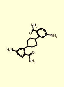 NC(=O)c1ccc(N)cc1C1CCC(c2cc(N)ccc2C(N)=O)CC1